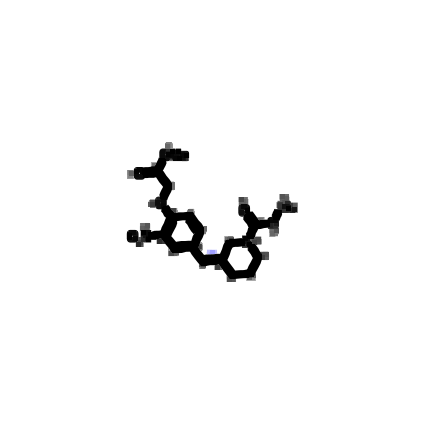 COC(=O)COc1ccc(/C=C2/CCCN(C(=O)OC(C)(C)C)C2)cc1[N+](=O)[O-]